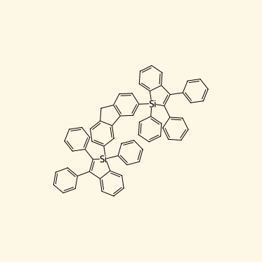 c1ccc(C2=C(c3ccccc3)[Si](c3ccccc3)(c3ccc4c(c3)-c3cc([Si]5(c6ccccc6)C(c6ccccc6)=C(c6ccccc6)c6ccccc65)ccc3C4)c3ccccc32)cc1